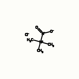 C[N+](C)(C)[N+](=O)[O-].[Cl-]